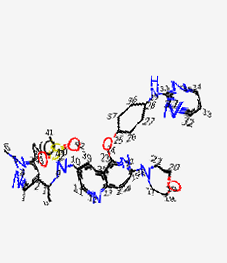 CC(c1cnn(C)c1[N+](=O)[O-])N(c1cnc2cc(N3CCOCC3)nc(OC3CCC(Nc4ncccn4)CC3)c2c1)S(C)(=O)=O